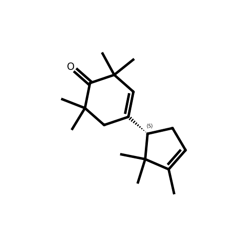 CC1=CC[C@@H](C2=CC(C)(C)C(=O)C(C)(C)C2)C1(C)C